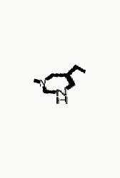 CCC1CNCN(C)C1